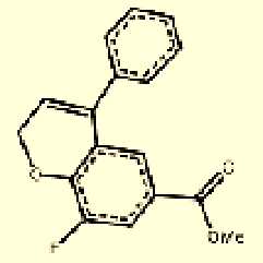 COC(=O)c1cc(F)c2c(c1)C(c1ccccc1)=CCO2